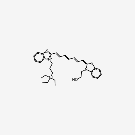 CC[N+](CC)(CC)CCC[n+]1c(/C=C/C=C/C=C/C=C2/Sc3ccccc3N2CCO)sc2ccccc21